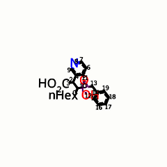 CCCCCCC(C(C(=O)O)c1cccnc1)P(=O)(O)Cc1ccccc1